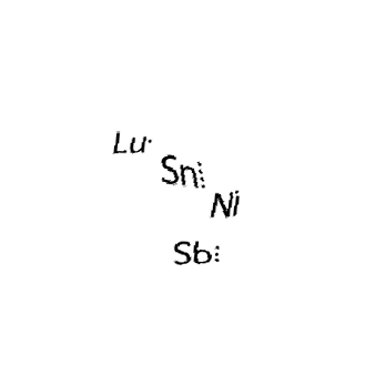 [Lu].[Ni].[Sb].[Sn]